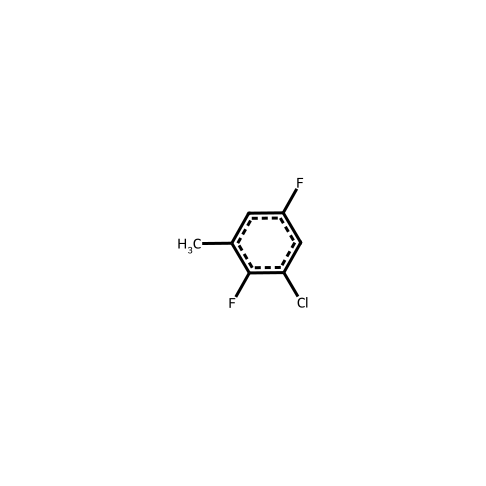 Cc1cc(F)cc(Cl)c1F